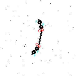 Cc1ccc(-c2ccc(OC(=O)CCCCCCCCCC(=O)Oc3ccc(-c4ccc(C)c(F)c4)c(F)c3)cc2F)cc1F